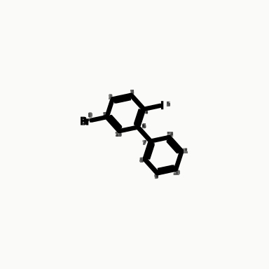 Brc1ccc(I)c(-c2ccccc2)c1